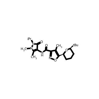 Cc1c(C(=O)Nc2c(C)n(C)n(C(C)C)c2=O)noc1[C@@H]1CCC[C@H](C(C)(C)C)O1